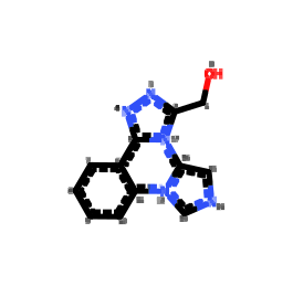 OCc1nnc2c3ccccc3n3cncc3n12